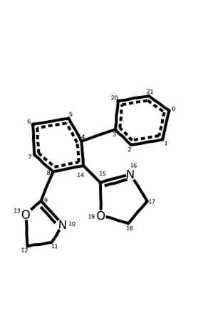 c1ccc(-c2cccc(C3=NCCO3)c2C2=NCCO2)cc1